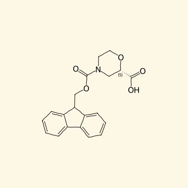 O=C(O)[C@@H]1CN(C(=O)OCC2c3ccccc3-c3ccccc32)CCO1